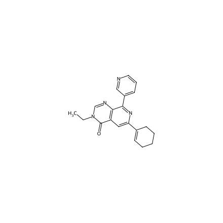 CCn1cnc2c(-c3cccnc3)nc(C3=CCCCC3)cc2c1=O